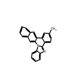 Cc1ccc2c(c1)c1cc3ccccc3cc1n1c3ccccc3nc21